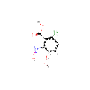 COC(=O)c1c(Br)ccc(OC)c1N=O